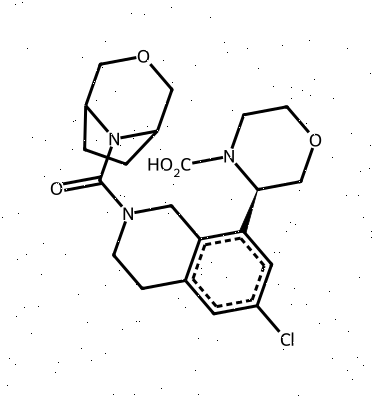 O=C(N1CCc2cc(Cl)cc([C@@H]3COCCN3C(=O)O)c2C1)N1C2CCC1COC2